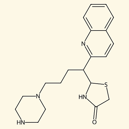 O=C1CSC(C(CCCN2CCNCC2)c2ccc3ccccc3n2)N1